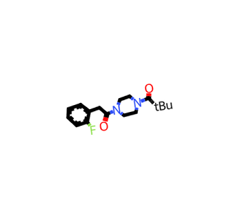 CC(C)(C)C(=O)N1CCN(C(=O)Cc2ccccc2F)CC1